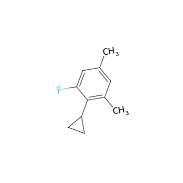 Cc1cc(C)c(C2CC2)c(F)c1